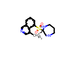 Cc1cncc2cccc(S(=O)(=O)[C@@]3(C)CNCCCN3)c12